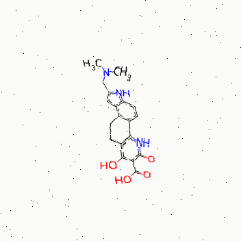 CN(C)Cc1cc2c3c(ccc2[nH]1)-c1[nH]c(=O)c(C(=O)O)c(O)c1CC3